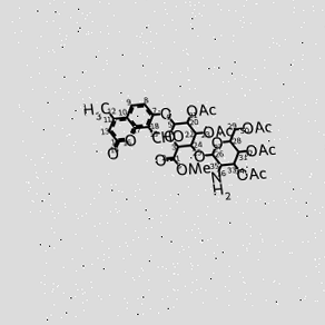 COC(=O)C1OC(Oc2ccc3c(C)cc(=O)oc3c2C=O)C(OC(C)=O)C(OC(C)=O)C1OC1OC(COC(C)=O)C(OC(C)=O)C(OC(C)=O)C1N